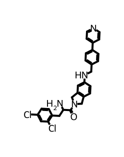 NC(Cc1ccc(Cl)cc1Cl)C(=O)N1Cc2ccc(NCc3ccc(-c4ccncc4)cc3)cc2C1